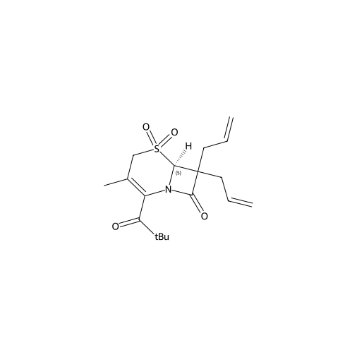 C=CCC1(CC=C)C(=O)N2C(C(=O)C(C)(C)C)=C(C)CS(=O)(=O)[C@H]21